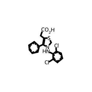 O=C(O)CC1=C(c2ccccc2)N(Nc2c(Cl)cccc2Cl)CS1